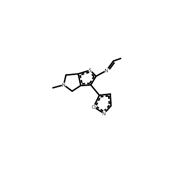 C/C=N/c1sc2c(c1-c1ccno1)CN(C)C2